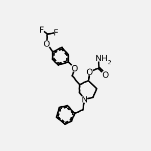 NC(=O)OC1CCN(Cc2ccccc2)CC1COc1ccc(OC(F)F)cc1